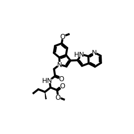 CC[C@H](C)C(NC(=O)Cn1cc(-c2cc3cccnc3[nH]2)c2cc(OC)ccc21)C(=O)OC